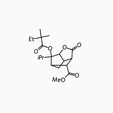 CCC(C)(C)C(=O)OC1(C(C)C)C2CC3C(C(=O)OC31)C2C(=O)OC